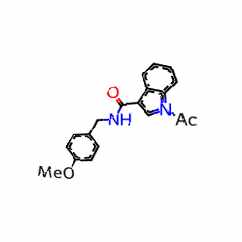 COc1ccc(CNC(=O)c2cn(C(C)=O)c3ccccc23)cc1